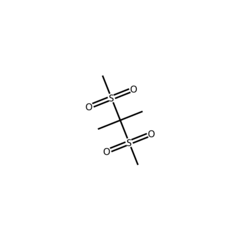 CC(C)(S(C)(=O)=O)S(C)(=O)=O